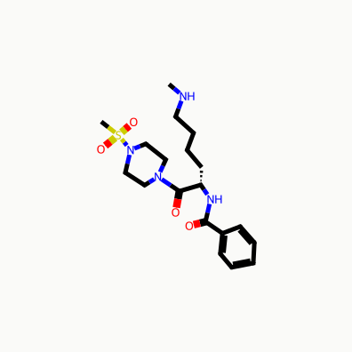 CNCCCC[C@H](NC(=O)c1ccccc1)C(=O)N1CCN(S(C)(=O)=O)CC1